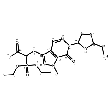 CCOP(=O)(OCC)C(Nc1nn(C)c2c(=O)n(C3CSC(CO)O3)nnc12)C(=O)O